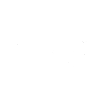 CCOC(=O)c1ccccc1-c1c(NCCCCO)ccc2[nH]cc(C(=O)O)c12